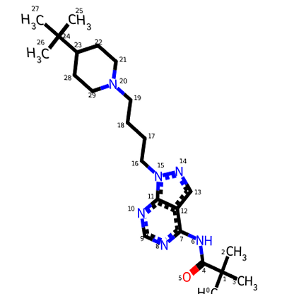 CC(C)(C)C(=O)Nc1ncnc2c1cnn2CCCCN1CCC(C(C)(C)C)CC1